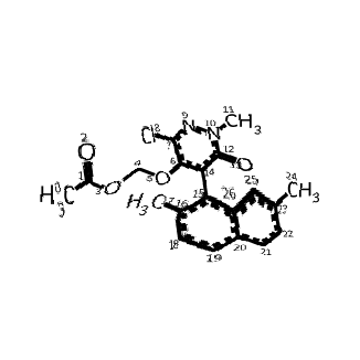 CC(=O)OCOc1c(Cl)nn(C)c(=O)c1-c1c(C)ccc2ccc(C)cc12